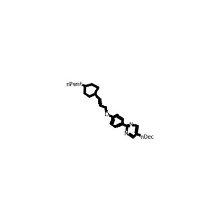 CCCCCCCCCCc1cnc(-c2ccc(OCC=CC3CCC(CCCCC)CC3)cc2)nc1